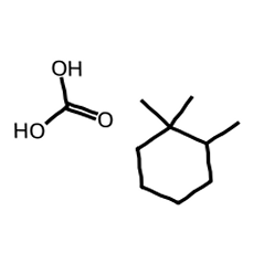 CC1CCCCC1(C)C.O=C(O)O